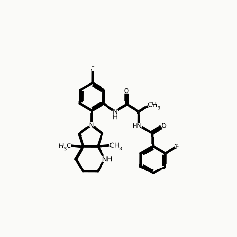 CC(NC(=O)c1ccccc1F)C(=O)Nc1cc(F)ccc1N1CC2(C)CCCNC2(C)C1